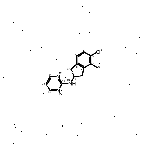 Cc1c(Cl)ccc2c1CC(Nc1nc[c]cn1)C2